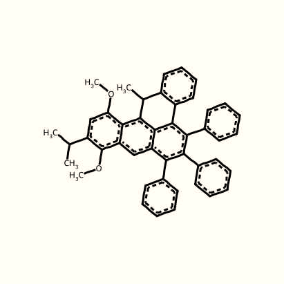 COc1c(C(C)C)cc(OC)c2c3c4c(c(-c5ccccc5)c(-c5ccccc5)c(-c5ccccc5)c4cc12)-c1ccccc1C3C